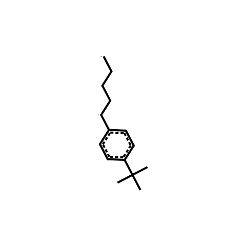 [CH2]CCC[CH]c1ccc(C(C)(C)C)cc1